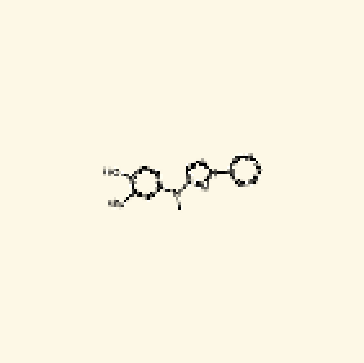 CN(c1ccc(O)c(C(C)(C)C)c1)c1ccn(-c2ccccc2)n1